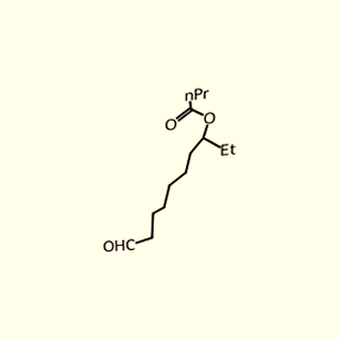 CCCC(=O)OC(CC)CCCCCCC=O